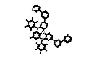 Cc1cc2c3c(c1)B(c1c(C)c(C)c(C)c(C)c1C)c1cc(-c4cccc(-c5cccnc5)c4)ccc1N3c1ccc(-c3cccc(-c4cccnc4)c3)cc1B2c1c(C)c(C)c(C)c(C)c1C